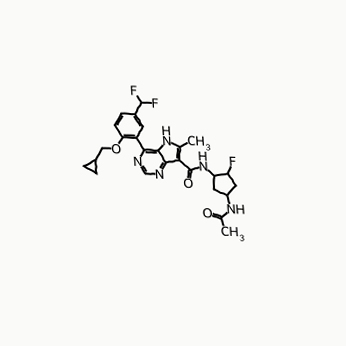 CC(=O)NC1CC(F)C(NC(=O)c2c(C)[nH]c3c(-c4cc(C(F)F)ccc4OCC4CC4)ncnc23)C1